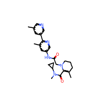 CC1=C(C(=O)N(C)C2CC2)N(CC(=O)Nc2cnc(-c3cncc(C)c3)c(C)c2)CCC1